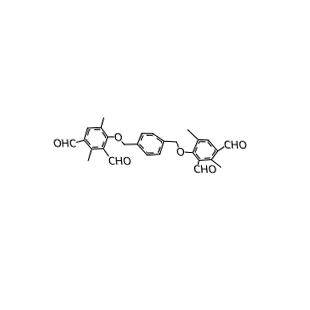 Cc1cc(C=O)c(C)c(C=O)c1OCc1ccc(COc2c(C)cc(C=O)c(C)c2C=O)cc1